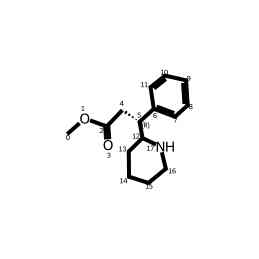 COC(=O)C[C@H](c1ccccc1)C1CCCCN1